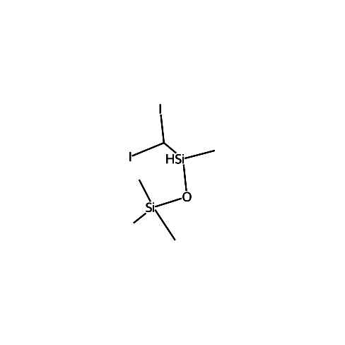 C[SiH](O[Si](C)(C)C)C(I)I